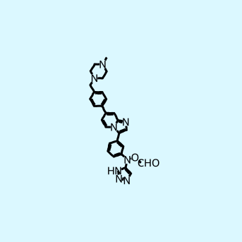 CN1CCN(Cc2ccc(-c3ccn4c(-c5cccc(N(OC=O)c6cnn[nH]6)c5)cnc4c3)cc2)CC1